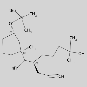 C#CC[C@H](CCCC(C)(C)O)C(CCC)[C@@]1(C)CCC[C@H](O[Si](C)(C)C(C)(C)C)C1